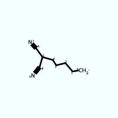 [CH2]CCCC[C](C#N)C#N